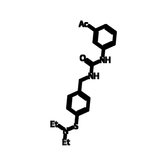 CCN(CC)Sc1ccc(CNC(=O)Nc2cccc(C(C)=O)c2)cc1